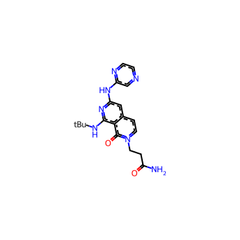 CC(C)(C)Nc1nc(Nc2cnccn2)cc2ccn(CCC(N)=O)c(=O)c12